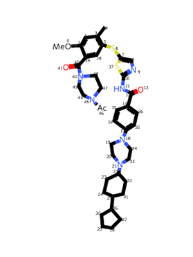 COc1cc(C)c(Sc2cnc(NC(=O)c3ccc(N4CCN(C5CCC(C6CCCC6)CC5)CC4)cc3)s2)cc1C(=O)N1CCN(C(C)=O)CC1